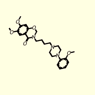 COc1cc2c(cc1OC)C(=O)N(CCCCN1CCN(c3ccccc3OC)CC1)CO2